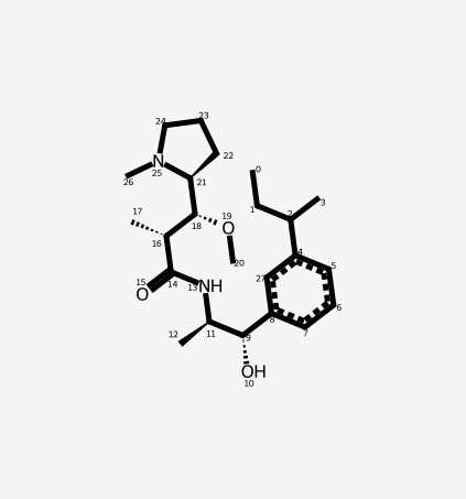 CCC(C)c1cccc([C@H](O)[C@@H](C)NC(=O)[C@H](C)[C@@H](OC)[C@@H]2CCCN2C)c1